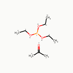 CC(C)=O.CCOP(OCC)OCC